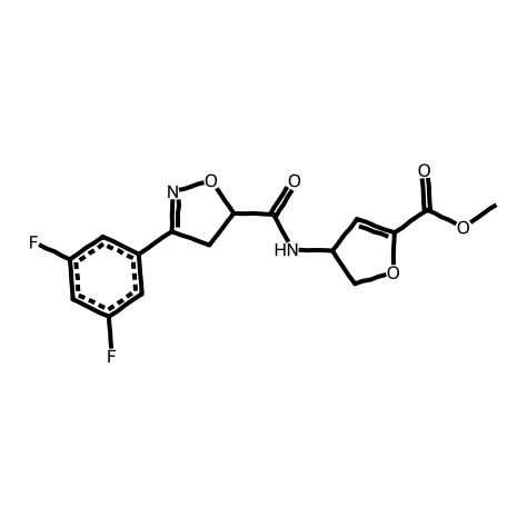 COC(=O)C1=CC(NC(=O)C2CC(c3cc(F)cc(F)c3)=NO2)CO1